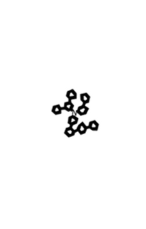 c1ccc(-c2ccc(-c3ccccc3-c3ccc(N(c4cccc(-c5ccccc5)c4)c4cc(-c5ccccc5)cc(-c5ccccc5)c4)cc3)cc2)cc1